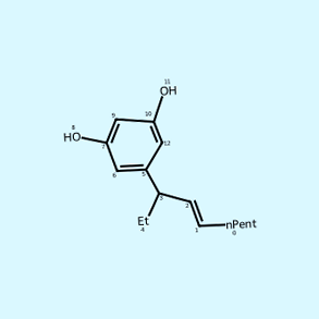 CCCCCC=CC(CC)c1cc(O)cc(O)c1